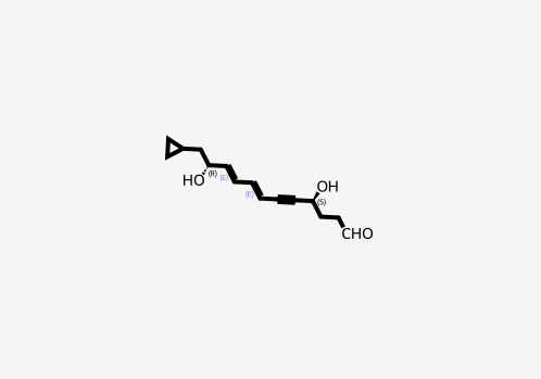 O=CCC[C@H](O)C#C/C=C/C=C/[C@H](O)CC1CC1